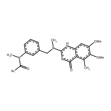 COc1cc2[nH]c(N(C)Cc3cccc(N(C)C(=O)C(C)=O)c3)nc(=O)c2c(C)c1OC